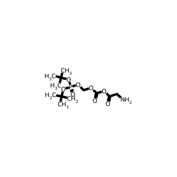 CC(C)(C)OP(=O)(OCOC(=O)OC(=O)CN)OC(C)(C)C